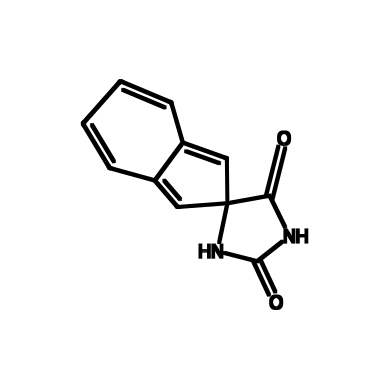 O=C1NC(=O)C2(C=c3ccccc3=C2)N1